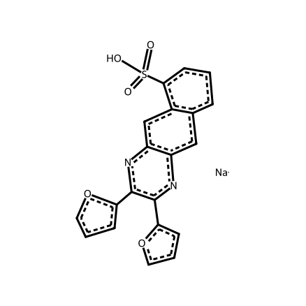 O=S(=O)(O)c1cccc2cc3nc(-c4ccco4)c(-c4ccco4)nc3cc12.[Na]